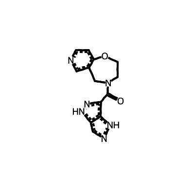 O=C(c1n[nH]c2cn[nH]c12)N1CCOc2ccncc2C1